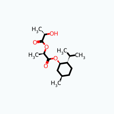 CC(C)[C@@H]1CC[C@@H](C)C[C@H]1OC(=O)[C@@H](C)OC(=O)[C@H](C)O